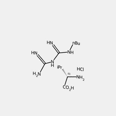 CC(C)[C@H](N)C(=O)O.CCCCNC(=N)NC(=N)N.Cl